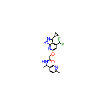 Cc1ccc(C(C)NC(=O)COc2cc(C(F)F)c3c(C4CC4)nn(C)c3n2)cn1